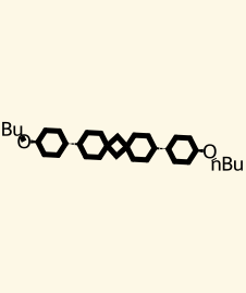 CCCCO[C@H]1CC[C@H](C2CCC3(CC2)CC2(CCC([C@H]4CC[C@H](OCCCC)CC4)CC2)C3)CC1